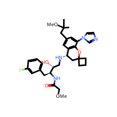 COCC(=O)N[C@@H](Cc1cccc(F)c1)[C@H](O)CN[C@H]1CC2(CCC2)Oc2c1cc(CC(C)(C)OC)cc2-n1ccnc1